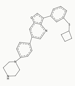 c1cc(SC2CCC2)cc(-c2coc3cc(-c4ccc(N5CCNCC5)cc4)cnc23)c1